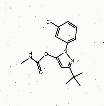 CNC(=O)Oc1cc(C(C)(C)C)nn1-c1cccc(Cl)c1